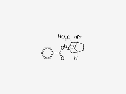 CCC[C@@]12CC[C@@H](C[C@H](OC(=O)c3ccccc3)[C@@H]1C(=O)O)N2C